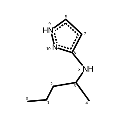 CCCC(C)Nc1cc[nH]n1